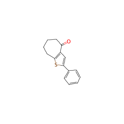 O=C1CCCCc2sc(-c3ccccc3)cc21